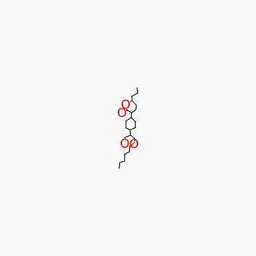 CCCCCC1OCC(C2CCC(C3CCC(CCC)OC3=O)CC2)CO1